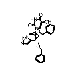 Cc1cn([C@@H]2O[C@@]3(COCc4ccccc4)c4cnnn4C2C3OCc2ccccc2)c(=O)[nH]c1=O